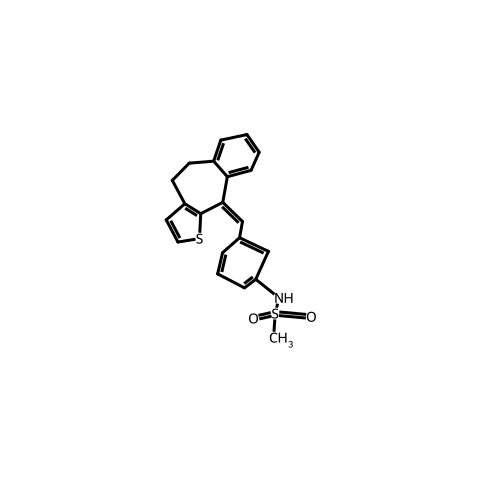 CS(=O)(=O)Nc1cccc(C=C2c3ccccc3CCc3ccsc32)c1